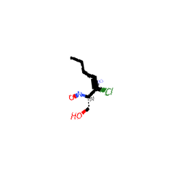 CCC/C=C(/Cl)[C@H](CO)N=O